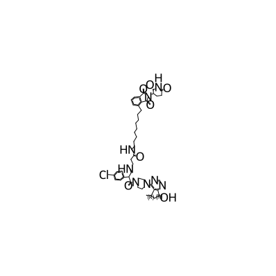 C[C@@H]1C[C@@H](O)c2ncnc(N3CCN(C(=O)C(CNCCC(=O)NCCCCCCCCCc4cccc5c4C(=O)N(C4CCC(=O)NC4=O)C5=O)c4ccc(Cl)cc4)CC3)c21